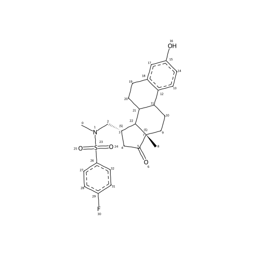 CN(C[C@H]1CC(=O)[C@@]2(C)CCC3c4ccc(O)cc4CCC3C12)S(=O)(=O)c1ccc(F)cc1